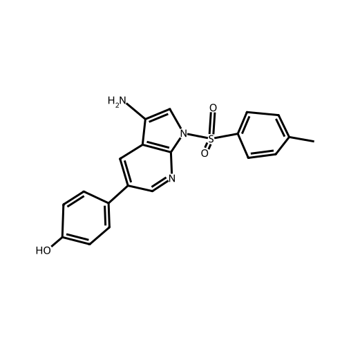 Cc1ccc(S(=O)(=O)n2cc(N)c3cc(-c4ccc(O)cc4)cnc32)cc1